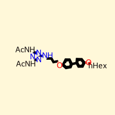 CCCCCCOc1ccc(-c2ccc(OCCCCNc3nc(NC(C)=O)nc(NC(C)=O)n3)cc2)cc1